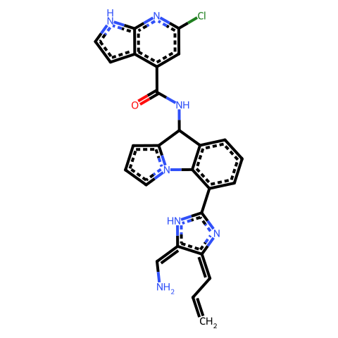 C=C/C=c1/nc(-c2cccc3c2-n2cccc2C3NC(=O)c2cc(Cl)nc3[nH]ccc23)[nH]/c1=C/N